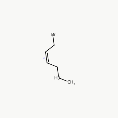 CBC/C=C\CBr